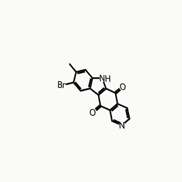 Cc1cc2[nH]c3c(c2cc1Br)C(=O)c1cnccc1C3=O